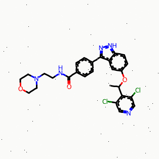 CC(Oc1ccc2[nH]nc(-c3ccc(C(=O)NCCN4CCOCC4)cc3)c2c1)c1c(Cl)cncc1Cl